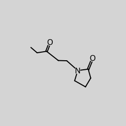 CCC(=O)CCN1CCCC1=O